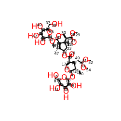 C=C[C@@H]1[C@@H](O[C@@H]2O[C@H](CO)[C@@H](O)[C@H](O)[C@H]2O)OC=C(C(=O)OC2C[C@@H]3C(C(=O)OC)=COC(O[C@@H]4O[C@H](CO)[C@@H](O)[C@H](O)[C@H]4O)[C@@H]3[C@H]2C)[C@@H]1CC(OC)OC